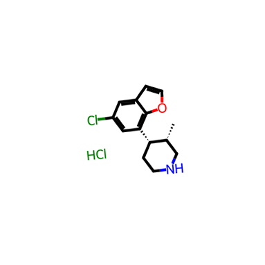 C[C@@H]1CNCC[C@@H]1c1cc(Cl)cc2ccoc12.Cl